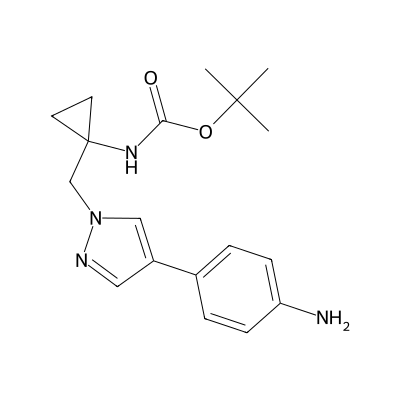 CC(C)(C)OC(=O)NC1(Cn2cc(-c3ccc(N)cc3)cn2)CC1